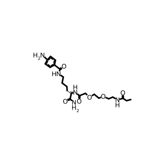 CCC(=O)NCCOCCOCC(=O)N[C@@H](CCCCNC(=O)c1ccc(N)cc1)C(N)=O